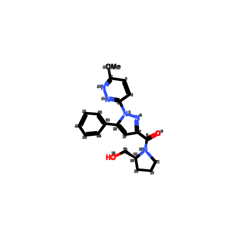 COc1ccc(-n2nc(C(=O)N3CCC[C@H]3CO)cc2-c2ccccc2)nn1